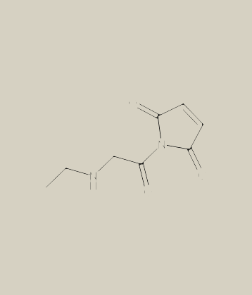 CCNCC(=O)N1C(=O)C=CC1=O